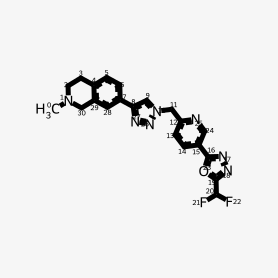 CN1CCc2ccc(-c3cn(Cc4ccc(-c5nnc(C(F)F)o5)cn4)nn3)cc2C1